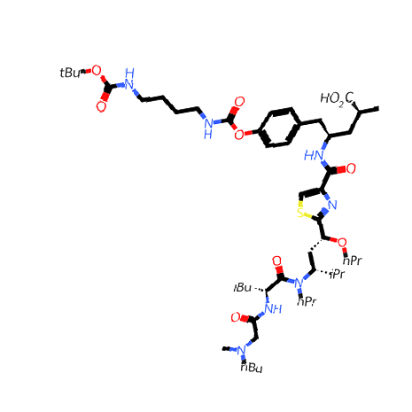 CCCCN(C)CC(=O)N[C@H](C(=O)N(CCC)[C@H](C[C@@H](OCCC)c1nc(C(=O)N[C@@H](Cc2ccc(OC(=O)NCCCCNC(=O)OC(C)(C)C)cc2)C[C@H](C)C(=O)O)cs1)C(C)C)[C@@H](C)CC